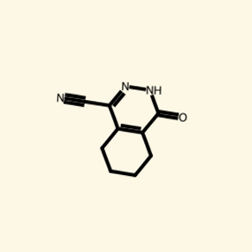 N#Cc1n[nH]c(=O)c2c1CCCC2